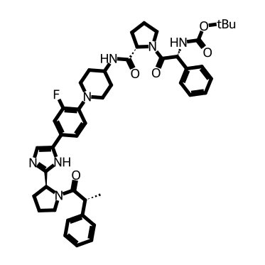 C[C@@H](C(=O)N1CCC[C@H]1c1ncc(-c2ccc(N3CCC(NC(=O)[C@@H]4CCCN4C(=O)[C@H](NC(=O)OC(C)(C)C)c4ccccc4)CC3)c(F)c2)[nH]1)c1ccccc1